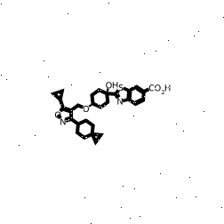 O=C(O)c1ccc2nc([C@]3(O)CC[C@@H](OCc4c(C5CCC6(CC5)CC6)noc4C4CC4)CC3)sc2c1